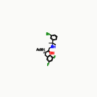 CC(=O)N[C@@H](Cc1cc(F)cc(F)c1)[C@H](O)CNC(C)(C)c1cccc(Br)c1